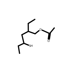 CCC(S)CC(CC)COC(C)=O